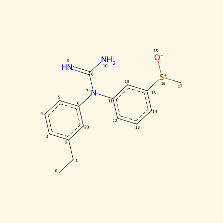 CCc1cccc(N(C(=N)N)c2cccc([S+](C)[O-])c2)c1